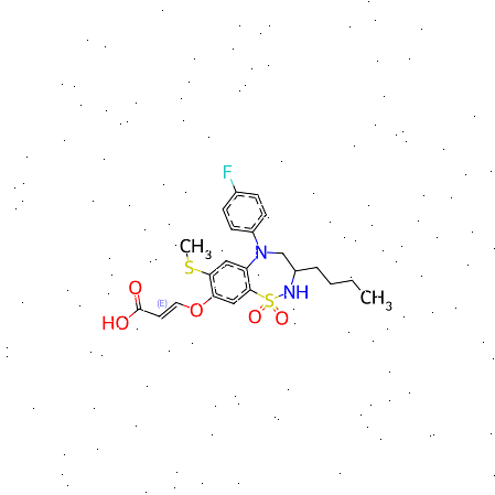 CCCCC1CN(c2ccc(F)cc2)c2cc(SC)c(O/C=C/C(=O)O)cc2S(=O)(=O)N1